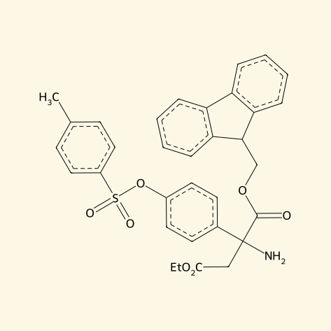 CCOC(=O)CC(N)(C(=O)OCC1c2ccccc2-c2ccccc21)c1ccc(OS(=O)(=O)c2ccc(C)cc2)cc1